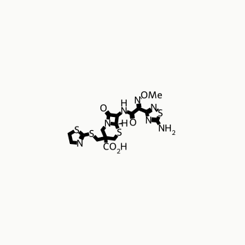 CON=C(C(=O)NC1C(=O)N2CC(CSC3=NCCS3)(C(=O)O)CS[C@H]12)c1nsc(N)n1